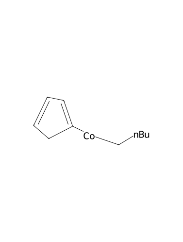 CCCC[CH2][Co][C]1=CC=CC1